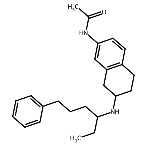 CCC(CCCc1ccccc1)NC1CCc2ccc(NC(C)=O)cc2C1